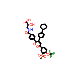 CS(=O)(=O)c1cc(C(=O)/C=C(\C(=O)c2ccc(C(=O)NC[C@@H](O)C(=O)O)cc2)c2ccc(C3CCCCC3)cc2)ccc1OC(F)(F)F